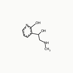 CNCC(O)c1cccnc1O